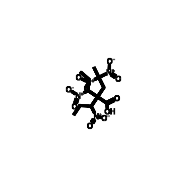 CCC([N+](=O)[O-])C(CC(C)([N+](=O)[O-])[N+](=O)[O-])(C(=O)O)C(CC)[N+](=O)[O-]